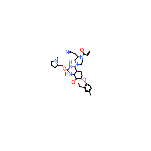 C=CC(=O)N1CCN(C2NC(OCC3CCCN3C)NC3C(=O)[C@@]4(CCc5cc(C)ccc5O4)CCC32)CC1CC#N